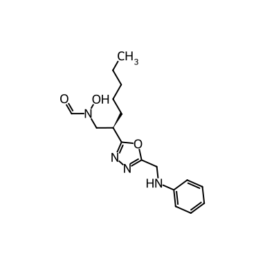 CCCCC[C@H](CN(O)C=O)c1nnc(CNc2ccccc2)o1